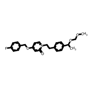 COCOC(C)c1ccc(CCn2ccc(OCc3ccc(F)cc3)cc2=O)cc1